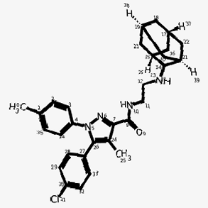 Cc1ccc(-n2nc(C(=O)NCCNC3[C@H]4C[C@@H]5C[C@@H](C[C@H]3C5)C4)c(C)c2-c2ccc(Cl)cc2)cc1